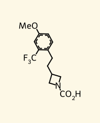 COc1ccc(CCC2CN(C(=O)O)C2)c(C(F)(F)F)c1